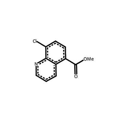 COC(=O)c1ccc(Cl)c2ncccc12